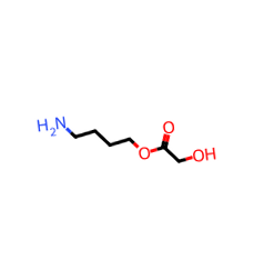 NCCCCOC(=O)CO